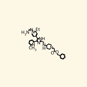 CCC1C=C(c2[nH]c(CNC3CCN(CC(=O)OCc4ccccc4)CC3)nc2-c2cccc(C)n2)C=CN1/N=C\N